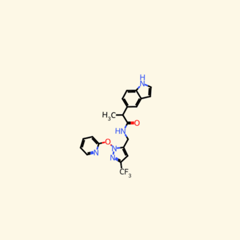 CC(C(=O)NCc1cc(C(F)(F)F)nn1Oc1ccccn1)c1ccc2[nH]ccc2c1